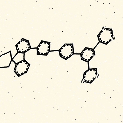 c1ccc2c(c1)-c1c(-c3ccc(-c4ccc(-c5cc(-c6cncnc6)cc(-c6cncnc6)c5)cc4)cc3)cccc1C21CCCCC1